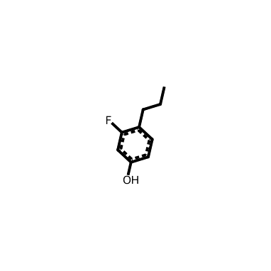 CCCc1ccc(O)cc1F